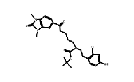 Cn1c(=O)n(C)c2cc(C(=O)CCCCN(CCc3ccc(O)cc3Cl)C(=O)OC(C)(C)C)ccc21